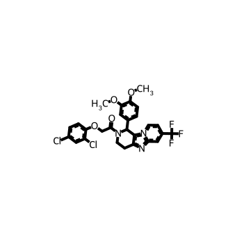 COc1ccc(C2c3c(nc4cc(C(F)(F)F)ccn34)CCN2C(=O)COc2ccc(Cl)cc2Cl)cc1OC